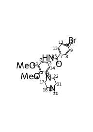 COc1cc(NC(=O)c2ccc(Br)cc2)cc(N2CCN(C)CC2)c1OC